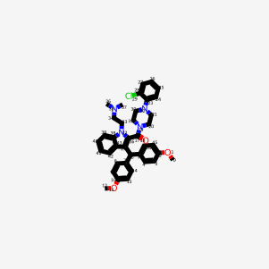 COc1ccc(C(c2ccc(OC)cc2)c2c(C(=O)N3CCN(c4ccccc4Cl)CC3)n(CCN(C)C)c3ccccc23)cc1